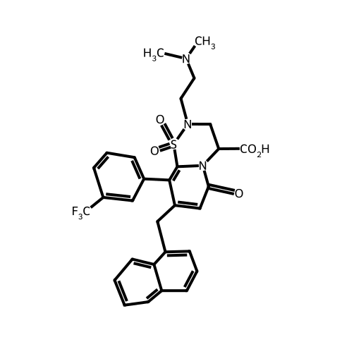 CN(C)CCN1CC(C(=O)O)n2c(c(-c3cccc(C(F)(F)F)c3)c(Cc3cccc4ccccc34)cc2=O)S1(=O)=O